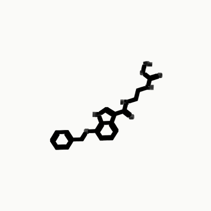 CC(C)(C)OC(=O)NCCNC(=O)c1c[nH]c2c(OCc3ccccc3)cccc12